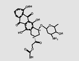 CCCC(=O)OCC(=O)[C@@H]1Cc2c(O)c3c(c(O)c2[C@@H](OC2CC(N)C(O)C(C)O2)C1)C(=O)c1c(OC)cccc1C3=O